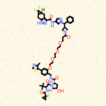 Cc1ncsc1-c1ccc(CNC(=O)[C@@H]2C[C@@H](O)CN2C(=O)C(NC(=O)C2(F)CC2)C(C)(C)C)c(OCCOCCOCCOCCC(=O)N2CC(C(c3ccccc3)n3cc(NC(=O)c4n[nH]c5c4C[C@@H]4C(F)(F)[C@]4(C)C5)cn3)C2)c1